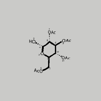 CC(=O)OCC1O[C@H](O)[C@H](OC(C)=O)C(OC(C)=O)[C@@H]1OC(C)=O